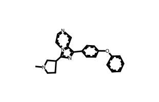 CN1CCC(c2nc(-c3ccc(Oc4ccccc4)cc3)c3cnccn23)C1